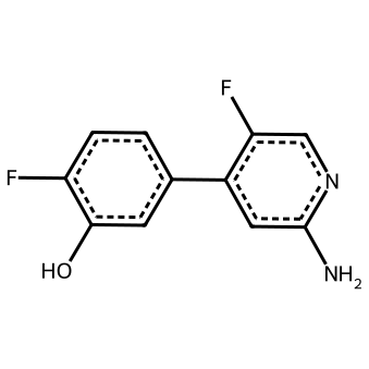 Nc1cc(-c2ccc(F)c(O)c2)c(F)cn1